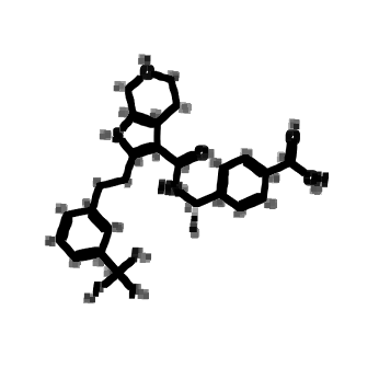 C[C@H](NC(=O)c1c(CCc2cccc(C(F)(F)F)c2)sc2c1CCOC2)c1ccc(C(=O)O)cc1